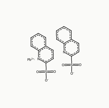 O=S(=O)([O-])c1ccc2ccccc2n1.O=S(=O)([O-])c1ccc2ccccc2n1.[Pb+2]